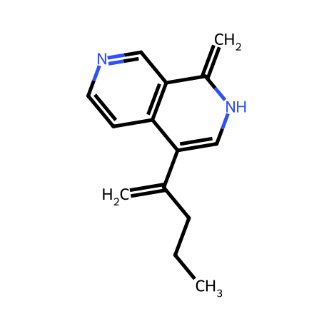 C=C(CCC)C1=CNC(=C)c2cnccc21